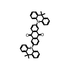 CC1(C)c2ccccc2N(c2ccc3c(c2)C(=O)c2ccc(N4c5ccccc5C(C)(C)c5ccccc54)cc2C3=O)c2ccccc21